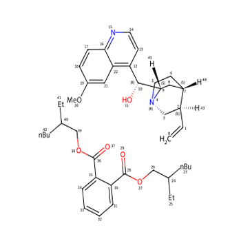 C=C[C@H]1C[N@]2CC[C@H]1C[C@H]2[C@H](O)c1ccnc2ccc(OC)cc12.CCCCC(CC)COC(=O)c1ccccc1C(=O)OCC(CC)CCCC